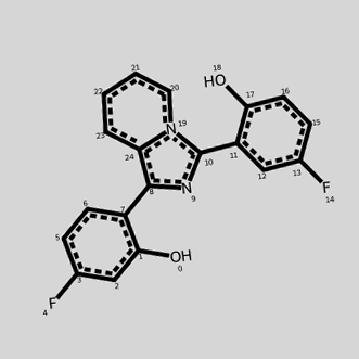 Oc1cc(F)ccc1-c1nc(-c2cc(F)ccc2O)n2ccccc12